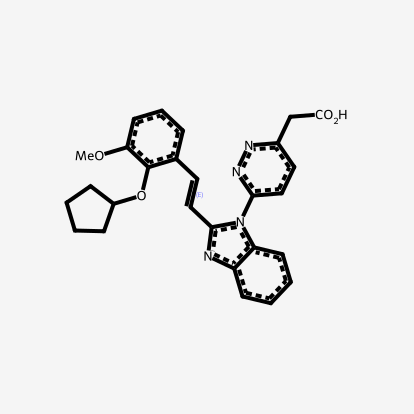 COc1cccc(/C=C/c2nc3ccccc3n2-c2ccc(CC(=O)O)nn2)c1OC1CCCC1